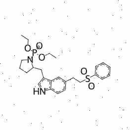 CCOP(=O)(OCC)N1CCCC1Cc1c[nH]c2ccc(CCS(=O)(=O)c3ccccc3)cc12